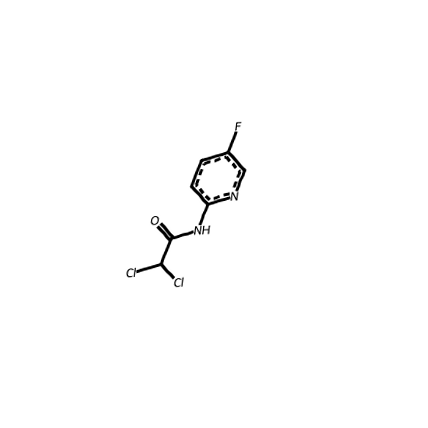 O=C(Nc1ccc(F)cn1)C(Cl)Cl